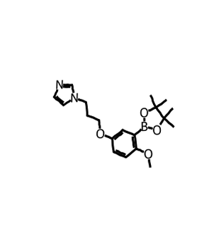 COc1ccc(OCCCn2ccnc2)cc1B1OC(C)(C)C(C)(C)O1